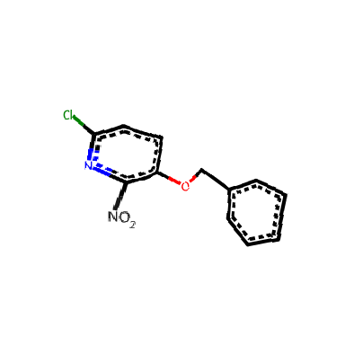 O=[N+]([O-])c1nc(Cl)ccc1OCc1ccccc1